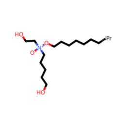 CC(C)CCCCCCCO[N+]([O-])(CCO)CCCCCO